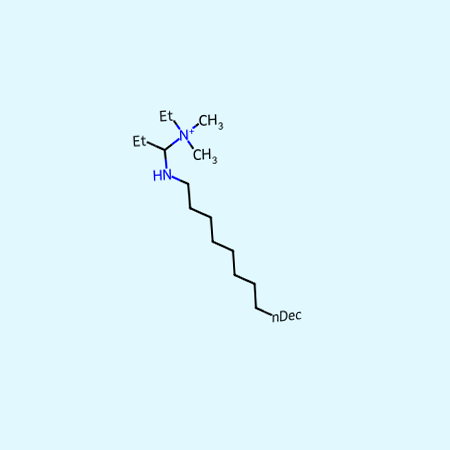 CCCCCCCCCCCCCCCCCCNC(CC)[N+](C)(C)CC